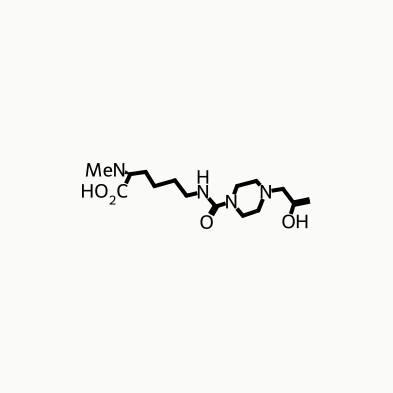 C=C(O)CN1CCN(C(=O)NCCCC[C@H](NC)C(=O)O)CC1